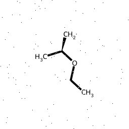 [CH2][C@H](C)OCC